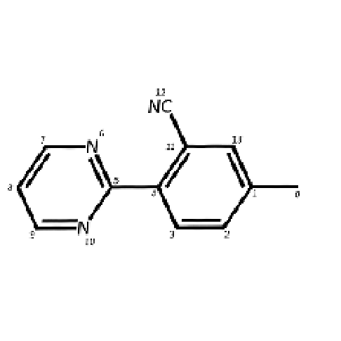 Cc1ccc(-c2ncccn2)c(C#N)c1